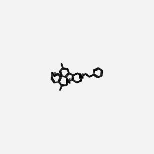 C/C(=C/n1c2c(c3cc(C)ccc31)CN(CCc1ccccc1)CC2)c1ccncc1